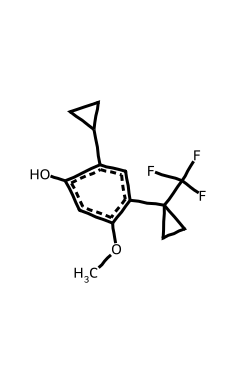 COc1cc(O)c(C2CC2)cc1C1(C(F)(F)F)CC1